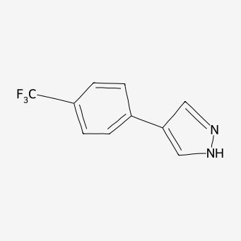 FC(F)(F)c1ccc(-c2cn[nH]c2)cc1